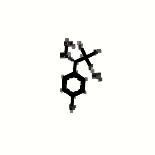 CN[C@@H](c1ccc(Br)cc1)C(F)(F)F.Cl